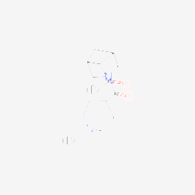 CC(C)(C)C(=O)C1C2CC1CN(C(=O)C1CCN(C(C)(C)C)CC1)C2